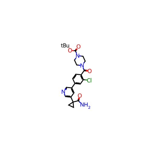 CC(C)(C)OC(=O)N1CCN(C(=O)c2ccc(-c3cncc(C4(C(N)=O)CC4)c3)cc2Cl)CC1